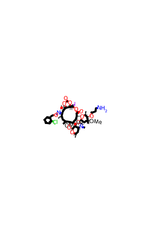 CO[C@]1(C)C[C@@H](C)/C(=N\OCc2ccccc2Cl)[C@H](C)[C@H]2OC(=O)O[C@]2(C)[C@@H](I)OC(=O)[C@H](C)[C@@H](O[C@H]2C[C@@](C)(OC)[C@@H](OCCCN)[C@H](C)O2)[C@H](C)[C@H]1O[C@@H]1O[C@H](C)C[C@H](N(C)C)[C@H]1OC(C)=O